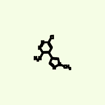 Cn1cc(-c2cc(Cl)nnc2N)cn1